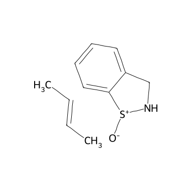 CC=CC.[O-][S+]1NCc2ccccc21